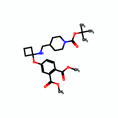 COC(=O)c1ccc(OC2(NCC3CCN(C(=O)OC(C)(C)C)CC3)CCC2)cc1C(=O)OC